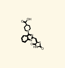 O=C1NC(=O)/C(=C\c2nc(N3CCC(C(=O)O)CC3)c3ccccc3n2)S1